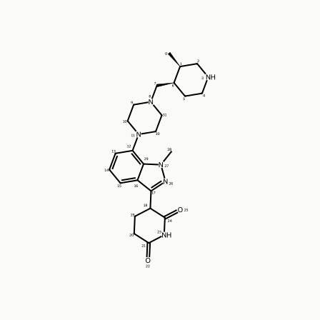 C[C@H]1CNCC[C@H]1CN1CCN(c2cccc3c(C4CCC(=O)NC4=O)nn(C)c23)CC1